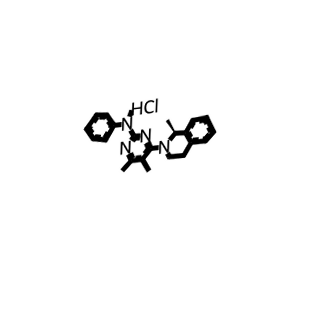 Cc1nc(N(C)c2ccccc2)nc(N2CCc3ccccc3[C@@H]2C)c1C.Cl